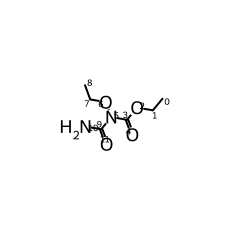 CCOC(=O)N(OCC)C(N)=O